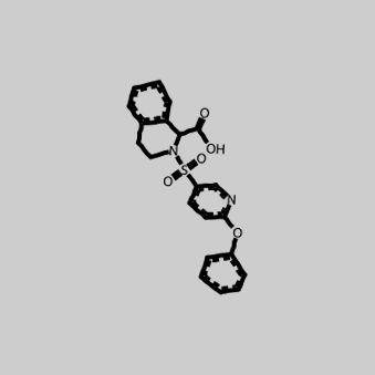 O=C(O)C1c2ccccc2CCN1S(=O)(=O)c1ccc(Oc2ccccc2)nc1